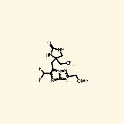 COCc1nn2c(CC3(CC(F)(F)F)CNC(=O)N3)c(C(F)F)nc2s1